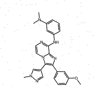 COc1cccc(-c2nc3c(Nc4cccc(N(C)C)c4)nccn3c2-c2cnn(C)c2)c1